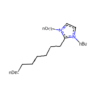 CCCCCCCCCCCCCCCCc1n(CCCC)cc[n+]1CCCCCCCC